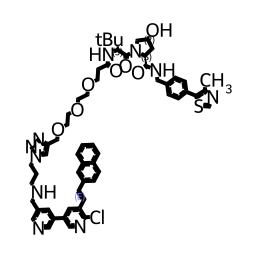 Cc1ncsc1-c1ccc(CNC(=O)[C@@H]2C[C@@H](O)CN2C(=O)[C@@H](NC(=O)CCOCCOCCOCc2cn(CCCNCc3cncc(-c4cnc(Cl)c(/C=C/c5ccc6ccccc6c5)c4)c3)nn2)C(C)(C)C)cc1